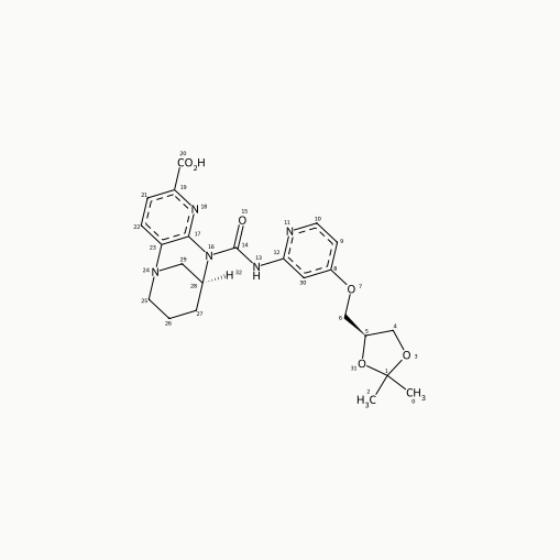 CC1(C)OC[C@H](COc2ccnc(NC(=O)N3c4nc(C(=O)O)ccc4N4CCC[C@H]3C4)c2)O1